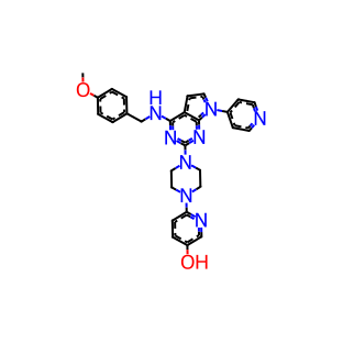 COc1ccc(CNc2nc(N3CCN(c4ccc(O)cn4)CC3)nc3c2ccn3-c2ccncc2)cc1